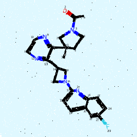 CC(=O)N1CC[C@](C)(c2nccnc2C2CN(c3ccc4cc(F)ccc4n3)C2)C1